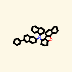 c1ccc(-c2ccc3cc(N(c4cccc5ccccc45)c4cccc5oc6c7ccccc7ccc6c45)ccc3c2)cc1